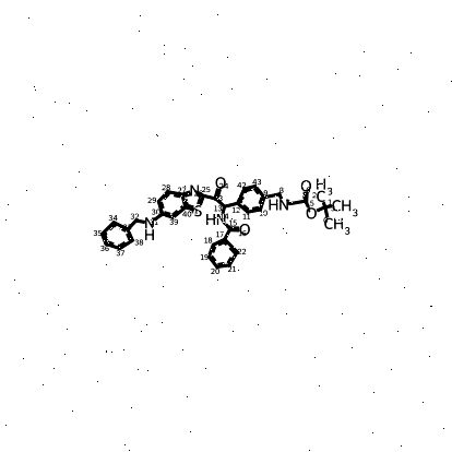 CC(C)(C)OC(=O)NCc1ccc(C(NC(=O)c2ccccc2)C(=O)c2nc3ccc(NCc4ccccc4)cc3s2)cc1